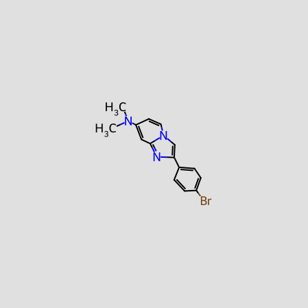 CN(C)c1ccn2cc(-c3ccc(Br)cc3)nc2c1